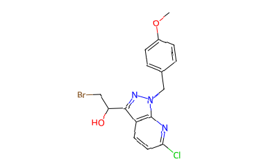 COc1ccc(Cn2nc(C(O)CBr)c3ccc(Cl)nc32)cc1